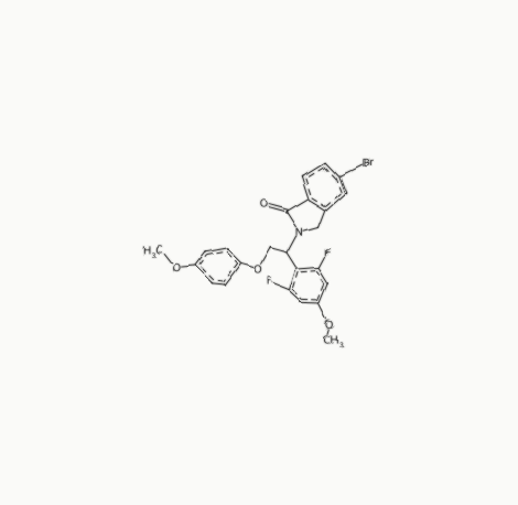 COc1ccc(OCC(c2c(F)cc(OC)cc2F)N2Cc3cc(Br)ccc3C2=O)cc1